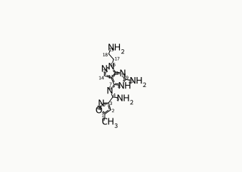 Cc1cc(C(N)/N=c2\[nH]c(N)nc3c2cnn3CCN)no1